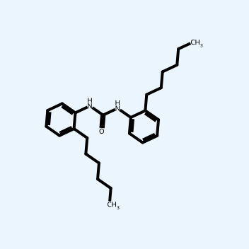 CCCCCCc1ccccc1NC(=O)Nc1ccccc1CCCCCC